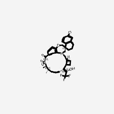 C[C@@H]1[C@@H](C)CCC[C@@H]([C@H](O)C(F)(F)F)C2CC[C@H]2CN2C[C@@]3(CCCc4cc(Cl)ccc43)COc3ccc(cc32)C(=O)NS1(=O)=O